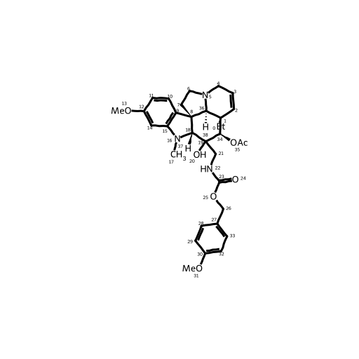 CC[C@]12C=CCN3CC[C@@]4(c5ccc(OC)cc5N(C)[C@H]4C(O)(CNC(=O)OCc4ccc(OC)cc4)[C@@H]1OC(C)=O)[C@@H]32